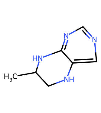 CC1CNc2cncnc2N1